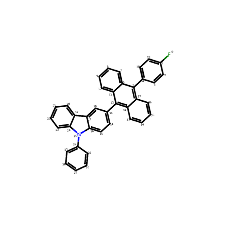 Fc1ccc(-c2c3ccccc3c(-c3ccc4c(c3)c3ccccc3n4-c3ccccc3)c3ccccc23)cc1